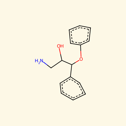 NCC(O)C(Oc1ccccc1)c1ccccc1